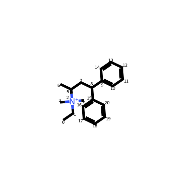 CC[N+](C)(C)C(C)CC(c1ccccc1)c1ccccc1